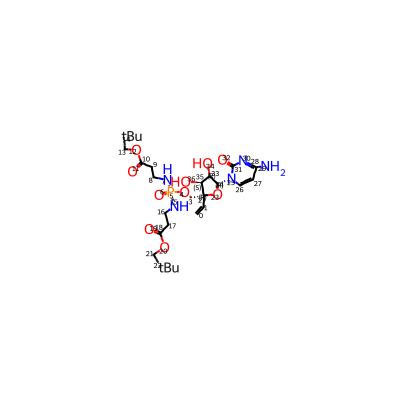 C=C[C@]1(COP(=O)(NCCC(=O)OCC(C)(C)C)NCCC(=O)OCC(C)(C)C)O[C@@H](n2ccc(N)nc2=O)[C@H](O)[C@@H]1O